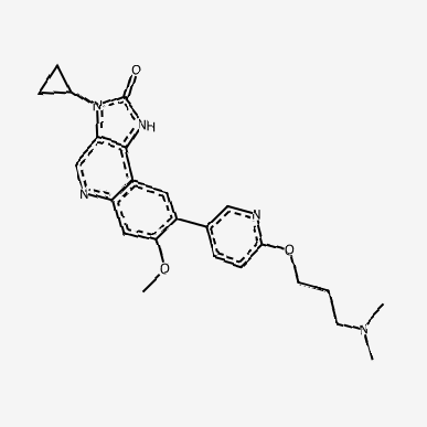 COc1cc2ncc3c([nH]c(=O)n3C3CC3)c2cc1-c1ccc(OCCCN(C)C)nc1